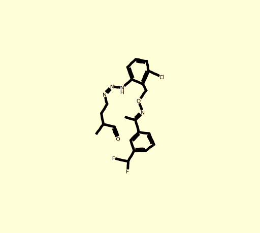 CC(=NOCc1c(Cl)cccc1N/N=N\CCC(C)C=O)c1cccc(C(F)F)c1